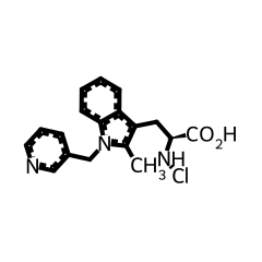 Cc1c(C[C@H](NCl)C(=O)O)c2ccccc2n1Cc1cccnc1